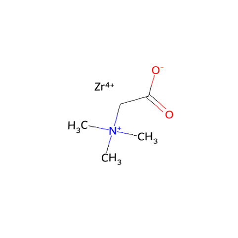 C[N+](C)(C)CC(=O)[O-].[Zr+4]